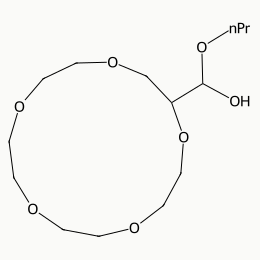 CCCOC(O)C1COCCOCCOCCOCCO1